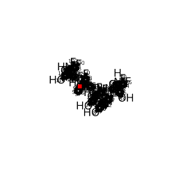 CC(C)C1(c2ccc(O)cc2)C(=O)Nc2c1ccc(F)c2F.CC1(c2ccc(O)cc2)C(=O)Nc2c1ccc(F)c2F.O=C1Nc2c(ccc(F)c2F)C1(CC1CCCCC1)c1ccc(O)cc1.O=C1Nc2c(ccc(F)c2F)C1(c1ccc(O)cc1)C1CCCC1.O=C1Nc2c(ccc(F)c2F)C1(c1ccncc1)c1ccc(O)cc1